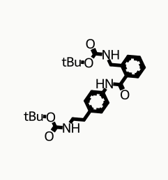 CC(C)(C)OC(=O)NCCc1ccc(NC(=O)c2ccccc2CNC(=O)OC(C)(C)C)cc1